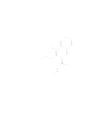 CCOC(=O)C(CC1CCCCC1)C(OCC)[PH2]=O